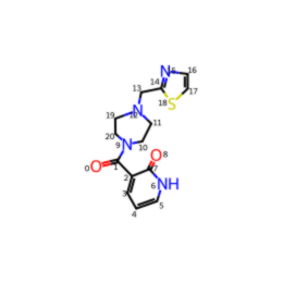 O=C(c1ccc[nH]c1=O)N1CCN(Cc2nccs2)CC1